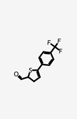 O=CC1CC=C(c2ccc(C(F)(F)F)cc2)S1